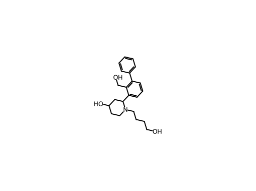 OCCCCN1CCC(O)CC1c1cccc(-c2ccccc2)c1CO